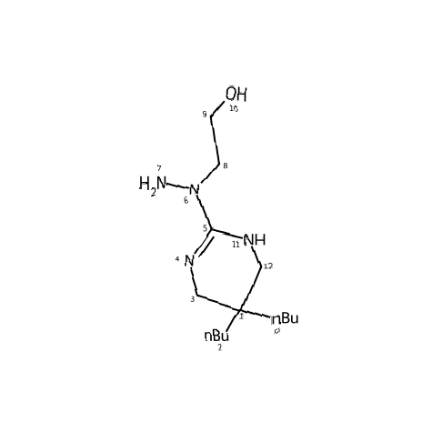 CCCCC1(CCCC)CN=C(N(N)CCO)NC1